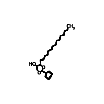 CCCCCCCCCCCCC/C=C/[C@H]1OC(c2ccccc2)OC[C@@H]1O